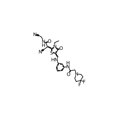 CCn1c(=C(C#N)C(=O)NCC#N)sc(=CNc2cccc(NC(=O)CN3CCC(F)(F)CC3)c2)c1=O